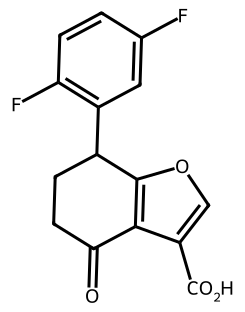 O=C(O)c1coc2c1C(=O)CCC2c1cc(F)ccc1F